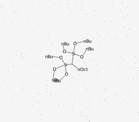 CCCCCCCCC([Si](OCCCC)(OCCCC)OCCCC)[Si](OCCCC)(OCCCC)OCCCC